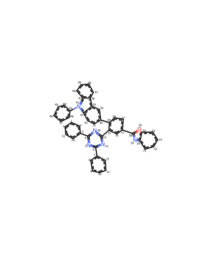 c1ccc(-c2nc(-c3ccccc3)nc(-c3cc(-c4nc5ccccc5o4)ccc3-c3ccc4c(c3)c3ccccc3n4-c3ccccc3)n2)cc1